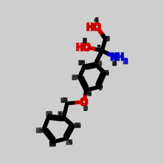 NC(O)(CO)c1ccc(OCc2ccccc2)cc1